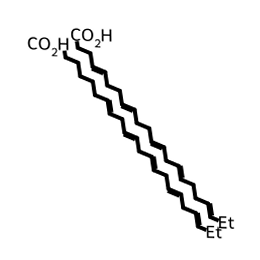 CCC=CCC=CCC=CCC=CCC=CCCCCCC(=O)O.CCC=CCCC=CCC=CCCC=CCCC=CCCC(=O)O